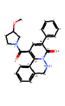 COC1CCN(C(=O)c2cc(-c3ccccc3)c(=O)n3c2-c2ccccc2CN3)C1